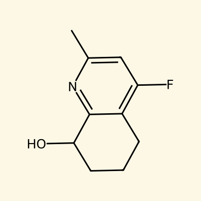 Cc1cc(F)c2c(n1)C(O)CCC2